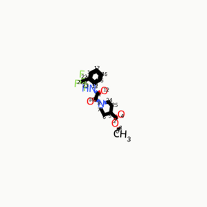 CCOC(=O)C1CCN(C(=O)C(=O)Nc2ccccc2C(F)(F)F)CC1